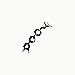 CN(C)CCN1CCN(c2ccc(-c3ccc(Cl)c(Cl)c3)nn2)CC1